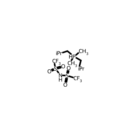 CC(C)C[PH](C)(C)CC(C)C.O=S(=O)(NS(=O)(=O)C(F)(F)F)C(F)(F)F